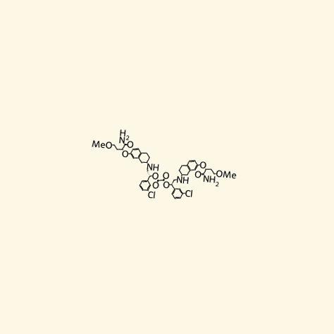 COCCC(Oc1ccc2c(c1)CC(NC[C@H](OC(=O)C(=O)O[C@@H](CNC1CCc3ccc(OC(CCOC)C(N)=O)cc3C1)c1cccc(Cl)c1)c1cccc(Cl)c1)CC2)C(N)=O